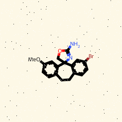 COc1ccc2c(c1)C1(COC(N)=N1)c1cc(Br)ccc1CC2